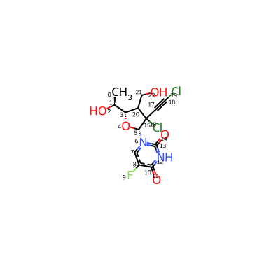 C[C@H](O)[C@H]1O[C@@H](n2cc(F)c(=O)[nH]c2=O)C(Cl)(C#CCl)C1CO